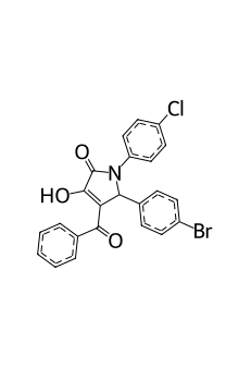 O=C(C1=C(O)C(=O)N(c2ccc(Cl)cc2)C1c1ccc(Br)cc1)c1ccccc1